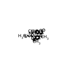 CCN(CC)[C@@H](CCSC)C(=O)Nc1cc(N(C)c2cc(=O)oc3ccccc23)ccc1OC